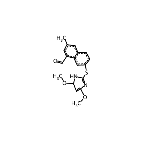 COC1=CC(OC)NC(Sc2ccc3cc(C)cc(C=O)c3c2)=N1